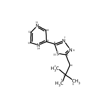 CC(C)(C)Cc1nnc(-c2cnccn2)s1